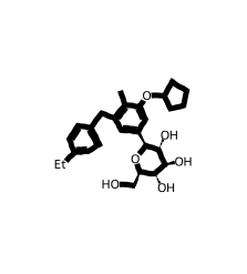 CCc1ccc(Cc2cc([C@@H]3O[C@H](CO)[C@@H](O)[C@H](O)[C@H]3O)cc(OC3CCCC3)c2C)cc1